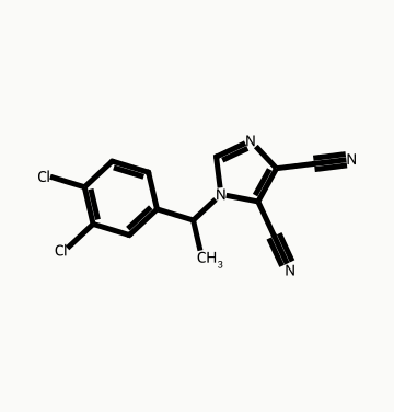 CC(c1ccc(Cl)c(Cl)c1)n1cnc(C#N)c1C#N